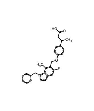 Cc1c(COc2ccc(C(C)CC(=O)O)cc2)c(F)cc2ccn(Cc3ccccc3)c12